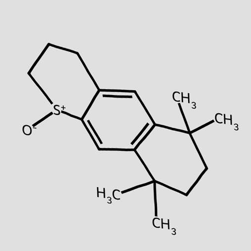 CC1(C)CCC(C)(C)c2cc3c(cc21)CCC[S+]3[O-]